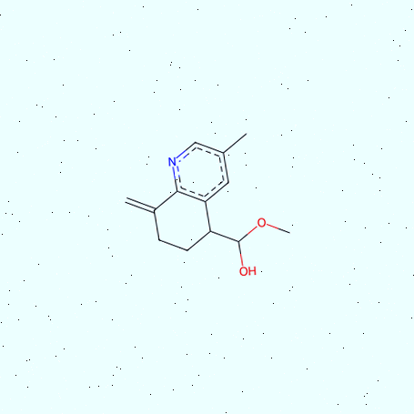 C=C1CCC(C(O)OC)c2cc(C)cnc21